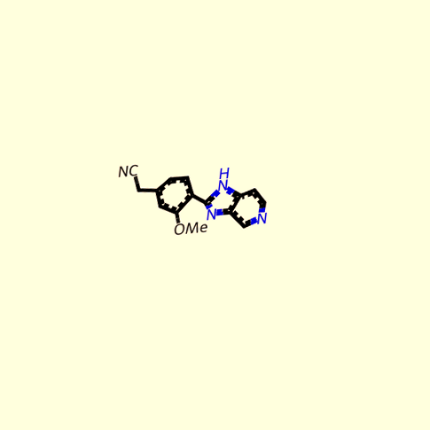 COc1cc(CC#N)ccc1-c1nc2cnccc2[nH]1